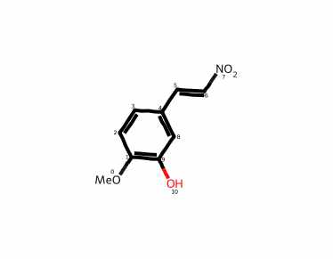 COc1ccc(C=C[N+](=O)[O-])cc1O